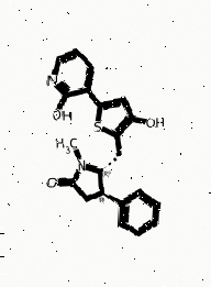 CN1C(=O)C[C@H](c2ccccc2)[C@H]1Cc1sc(-c2cccnc2O)cc1O